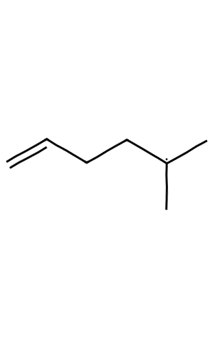 C=CCC[C](C)C